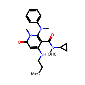 COCCNc1cc(=O)n(C)c(N(C)c2ccccc2)c1C(=O)N(C=O)C1CC1